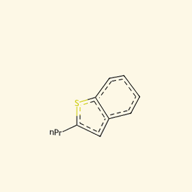 CCCc1cc2ccccc2s1